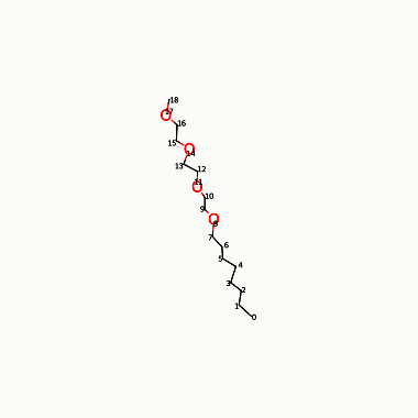 CCCCCCCCOCCOCCOCCOC